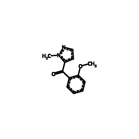 COc1ccccc1C(=O)c1ccnn1C